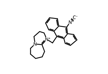 [C-]#[N+]c1c2ccccc2c(C[N+]2=C3CCCCCN3CCC2)c2ccccc12